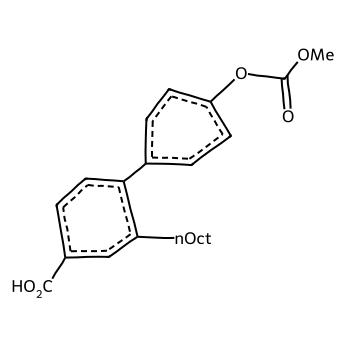 CCCCCCCCc1cc(C(=O)O)ccc1-c1ccc(OC(=O)OC)cc1